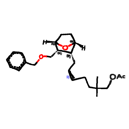 CC(=O)OCC(C)(C)CC/C=C\C[C@@H]1[C@H](COCc2ccccc2)[C@@H]2CC[C@H]1O2